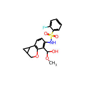 COC(O)c1c(NS(=O)(=O)c2ccccc2F)ccc2c1OCC1CC21